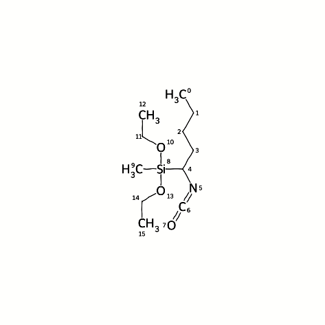 CCCCC(N=C=O)[Si](C)(OCC)OCC